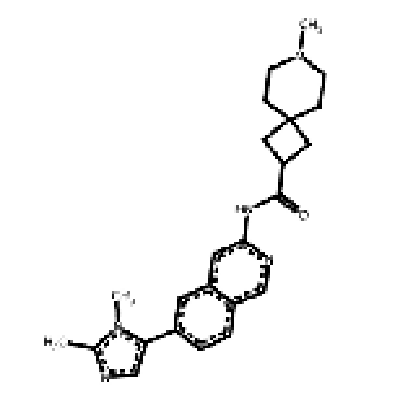 Cc1ncc(-c2ccc3cnc(NC(=O)C4CC5(CCN(C)CC5)C4)cc3c2)n1C